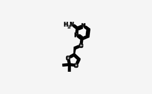 CC1(C)OC[C@H](COc2ccnc(N)n2)O1